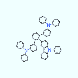 c1ccc(N(c2ccccc2)c2cccc(-c3cccc(-c4cccc(N(c5ccccc5)c5ccccc5)c4)c3-c3ccc4c(c3)c3ccccc3n4-c3ccccc3)c2)cc1